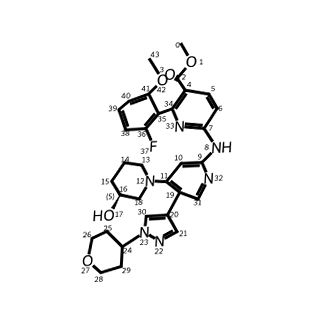 COC(=O)c1ccc(Nc2cc(N3CCC[C@H](O)C3)c(-c3cnn(C4CCOCC4)c3)cn2)nc1-c1c(F)cccc1OC